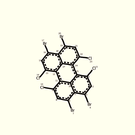 Clc1cc(Br)c2c(Br)cc(Cl)c3c4c(Cl)cc(Br)c5c(Br)cc(Cl)c(c1c23)c54